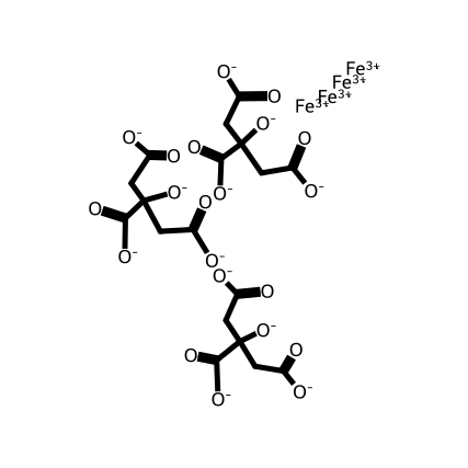 O=C([O-])CC([O-])(CC(=O)[O-])C(=O)[O-].O=C([O-])CC([O-])(CC(=O)[O-])C(=O)[O-].O=C([O-])CC([O-])(CC(=O)[O-])C(=O)[O-].[Fe+3].[Fe+3].[Fe+3].[Fe+3]